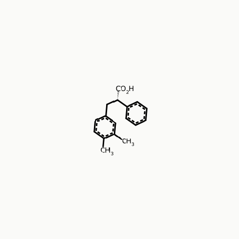 Cc1ccc(C[C@H](C(=O)O)c2ccccc2)cc1C